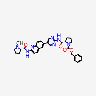 CN1CCC[C@H]1C(=O)Nc1ccc2cc(-c3cnc(NC(=O)[C@@H]4CCCN4C(=O)OCc4ccccc4)nc3)ccc2n1